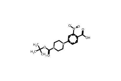 CC(C)(C)OC(=O)N1CCN(c2ccc(C(=O)O)c([N+](=O)[O-])c2)CC1